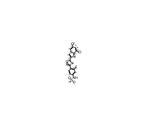 CS(=O)(=O)Nc1ccc(-c2noc(-c3cn4cc(C(F)(F)F)cc(Cl)c4n3)n2)c(F)c1